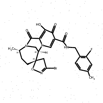 Cc1ccc(CNC(=O)c2cn3c(c(O)c2=O)C(=O)N2C[C@@H]3[C@]3(CC[C@@H]2C)CC(Br)=NO3)c(F)c1